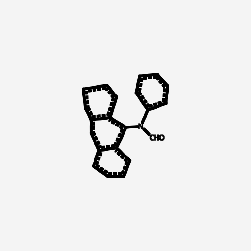 O=CN(c1ccccc1)c1c2ccccc2cc2ccccc12